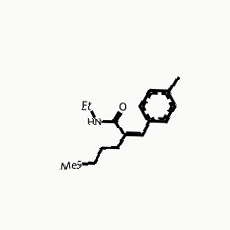 CCNC(=O)C(=Cc1ccc(C)cc1)CCCSC